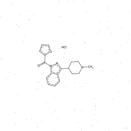 CN1CCC(c2nn(C(=O)c3ccco3)c3ccccc23)CC1.Cl